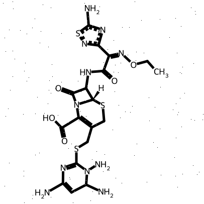 CCO/N=C(\C(=O)NC1C(=O)N2C(C(=O)O)=C(CSC3=NC(N)=CC(N)N3N)CS[C@@H]12)c1nsc(N)n1